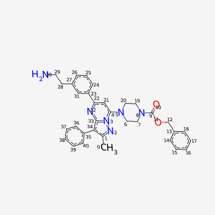 Cc1nn2c(N3CCN(C(=O)OCc4ccccc4)CC3)cc(-c3cccc(CCN)c3)nc2c1-c1ccccc1